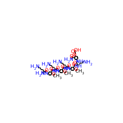 COc1ccc(NC(=O)[C@H](CCCCN)NC(=O)c2cc(NC(=O)[C@H](CCCCN)NC(=O)c3cc(NC(=O)[C@@H](N)CCCCN)ccc3OC)ccc2OC)cc1C(=O)N[C@@H](CCCCN)C(=O)Nc1ccc(OCC(=O)O)c(C(N)=O)c1